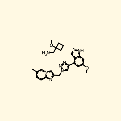 COC1(CN)CCC1.COc1cc(-c2cn(Cc3cn4cc(C)ccc4n3)nn2)c2cn[nH]c2c1